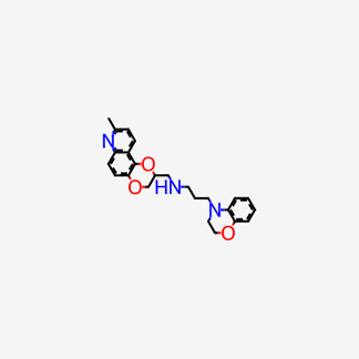 Cc1ccc2c3c(ccc2n1)OCC(CNCCCN1CCOc2ccccc21)O3